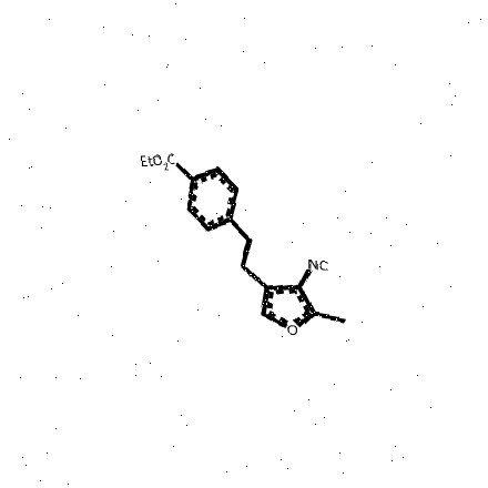 [C-]#[N+]c1c(CCc2ccc(C(=O)OCC)cc2)coc1C